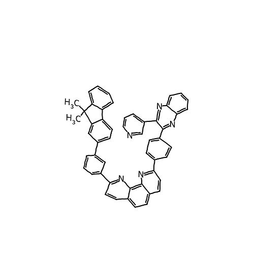 CC1(C)c2ccccc2-c2ccc(-c3cccc(-c4ccc5ccc6ccc(-c7ccc(-c8nc9ccccc9nc8-c8cccnc8)cc7)nc6c5n4)c3)cc21